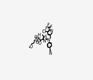 COCCCS(=O)(=O)NC(=O)c1nc(N(Cc2cnc(C(F)(F)F)c(Cl)c2)c2ccc(C#N)cc2)sc1C